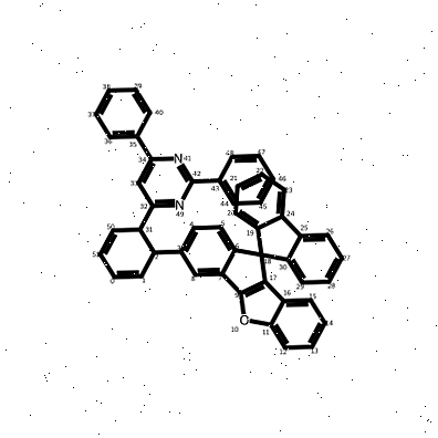 C1=CC(c2ccc3c(c2)-c2oc4ccccc4c2C32c3ccccc3-c3ccccc32)C(c2cc(-c3ccccc3)nc(-c3ccccc3)n2)C=C1